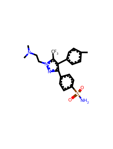 Cc1ccc(-c2c(-c3ccc(S(N)(=O)=O)cc3)nn(CCN(C)C)c2C(F)(F)F)cc1